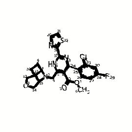 COC(=O)C1=C(CN2C3CCC34COCC24)NC(c2nccs2)=N[C@H]1c1ccc(F)cc1Cl